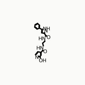 O=C(NCCCNC(=O)c1cc(-c2ccccc2)[nH]n1)c1ccnc(O)c1